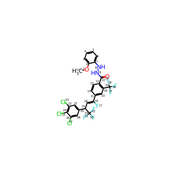 COc1ccccc1NNC(=O)c1ccc(C(F)=CC(c2cc(Cl)c(Cl)c(Cl)c2)C(F)(F)F)cc1C(F)(F)F